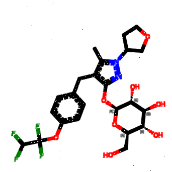 Cc1c(Cc2ccc(OC(F)(F)C(F)F)cc2)c(O[C@@H]2O[C@H](CO)[C@@H](O)[C@H](O)[C@H]2O)nn1C1CCOC1